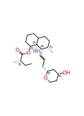 CC[C@H](C)C(=O)O[C@H]1CCCC2CC[C@H](C)[C@H](C=CC[C@@H]3C[C@@H](O)CCO3)[C@]21N